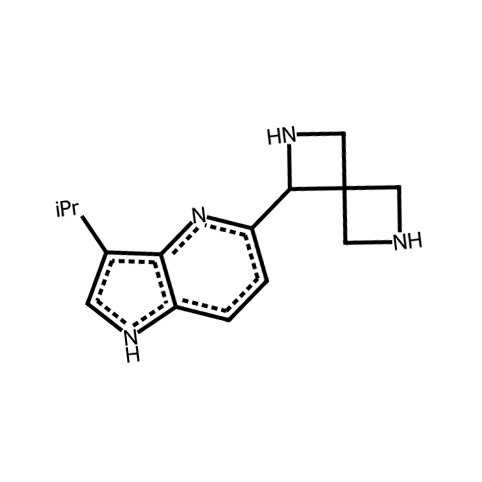 CC(C)c1c[nH]c2ccc(C3NCC34CNC4)nc12